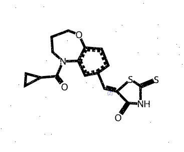 O=C1NC(=S)S/C1=C\c1ccc2c(c1)N(C(=O)C1CC1)CCCO2